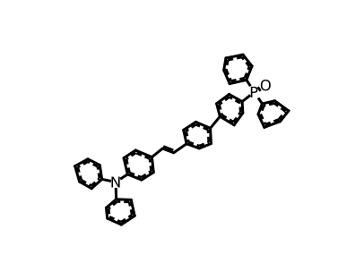 O=P(c1ccccc1)(c1ccccc1)c1ccc(-c2ccc(/C=C/c3ccc(N(c4ccccc4)c4ccccc4)cc3)cc2)cc1